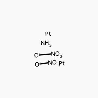 N.O=N[O-].O=[N+]([O-])[O-].[Pt].[Pt]